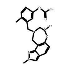 CC[C@@H]1CN(Cc2cc(OC(=O)C(C)(C)C)ccc2C)Cc2c(ccc3cn(C)nc23)O1